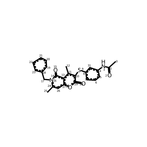 CC(=O)Nc1cccc(Sc2c(C)c3c(=O)n(Cc4ccccc4)c(C)cc3oc2=O)c1